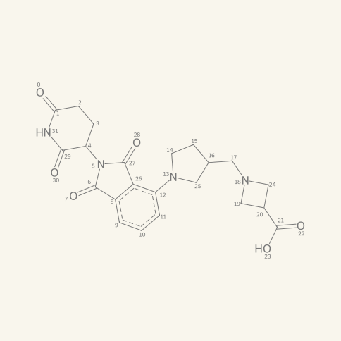 O=C1CCC(N2C(=O)c3cccc(N4CCC(CN5CC(C(=O)O)C5)C4)c3C2=O)C(=O)N1